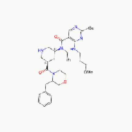 COCCCNc1nc(C(C)(C)C)ncc1C(=O)N(CC(C)C)[C@@H]1CNC[C@H](C(=O)N2CCOCC2Cc2ccccc2)C1